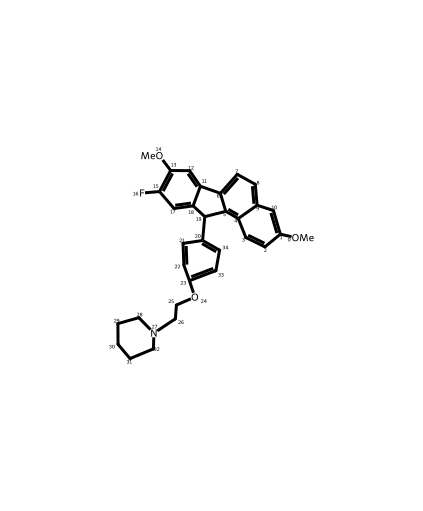 COc1ccc2c3c(ccc2c1)-c1cc(OC)c(F)cc1C3c1ccc(OCCN2CCCCC2)cc1